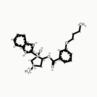 CCCCOc1cccc(C(=O)OC2CN(C)C[N+]2([O-])c2nc3ccccc3s2)c1